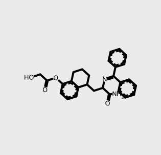 NC(=O)C(CC1CCCc2c(OC(=O)CO)cccc21)N=C(c1ccccc1)c1ccccc1